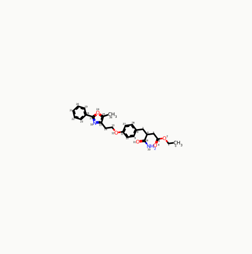 CCOC(=O)CC(Cc1ccc(OCCc2nc(-c3ccccc3)oc2C)cc1)C(N)=O